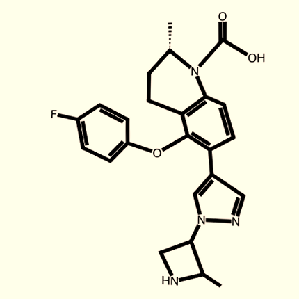 CC1NCC1n1cc(-c2ccc3c(c2Oc2ccc(F)cc2)CC[C@H](C)N3C(=O)O)cn1